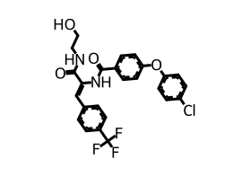 O=C(NCCO)C(=Cc1ccc(C(F)(F)F)cc1)NC(=O)c1ccc(Oc2ccc(Cl)cc2)cc1